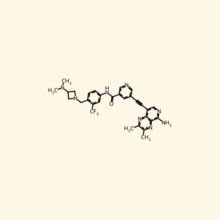 Cc1nc2c(C#Cc3cncc(C(=O)Nc4ccc(CN5CC(N(C)C)C5)c(C(F)(F)F)c4)c3)cnc(N)c2nc1C